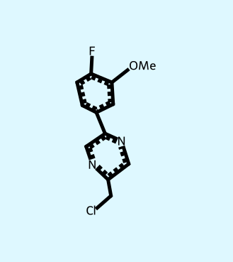 COc1cc(-c2cnc(CCl)cn2)ccc1F